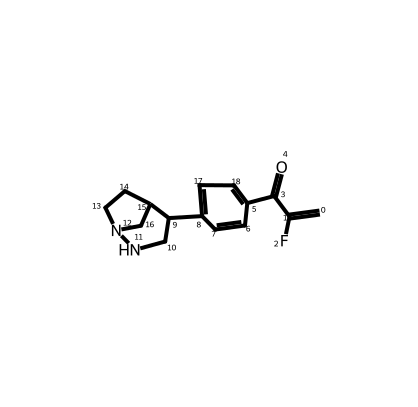 C=C(F)C(=O)c1ccc(C2CNN3CCC2C3)cc1